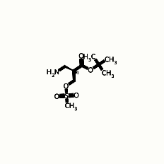 CC(C)(C)OC(=O)[C@H](CN)COS(C)(=O)=O